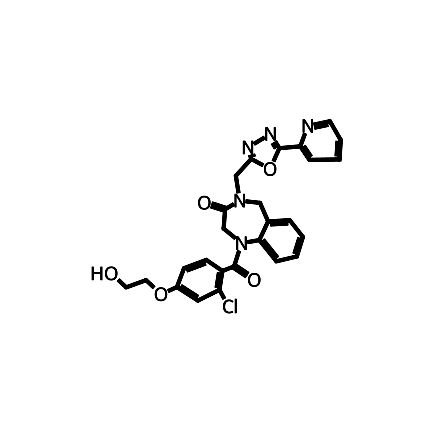 O=C1CN(C(=O)c2ccc(OCCO)cc2Cl)c2ccccc2CN1Cc1nnc(-c2ccccn2)o1